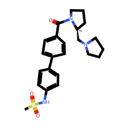 CS(=O)(=O)Nc1ccc(-c2ccc(C(=O)N3CCC[C@H]3CN3CCCC3)cc2)cc1